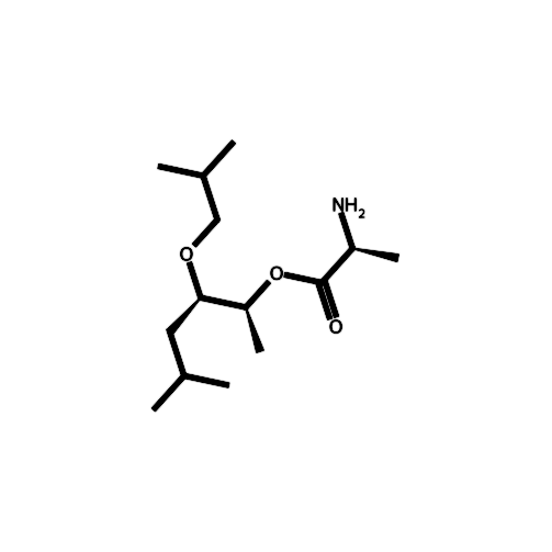 CC(C)CO[C@H](CC(C)C)[C@H](C)OC(=O)[C@H](C)N